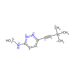 C[Si](C)(C)C#Cc1ccc(NC(=O)O)nn1